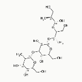 CC1[C@H](OC2[C@@H](O)C(CO)O[C@@H](O[C@@H](C)C(CO)O[C@@H](O)[C@@H](C)CO)[C@H]2O)OC(CO)[C@H](O)[C@@H]1O